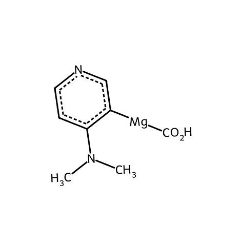 CN(C)c1ccnc[c]1[Mg][C](=O)O